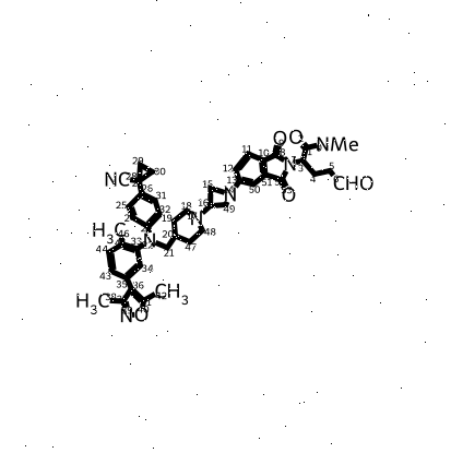 CNC(=O)C(CCC=O)N1C(=O)c2ccc(N3CC(N4CCC(CN(c5ccc(C6(C#N)CC6)cc5)c5cc(-c6c(C)noc6C)ccc5C)CC4)C3)cc2C1=O